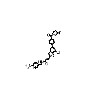 Nc1ccc(CNC(=O)C=CC2Cc3cc(-c4ccc(C(=O)N5CCC(F)C5)cc4)cc(Cl)c3O2)cn1